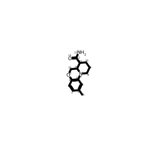 Cc1ccc2c(c1)N1CCCC(C(N)=O)C1CO2